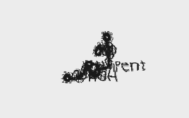 CCCCC[C@@H](CC[C@@H]1[C@H]2Cc3cccc(OCC(=O)OCc4ccccc4)c3C[C@H]2C[C@H]1O)OCCOP(=O)(OCc1ccccc1)OCc1ccccc1